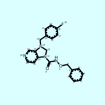 O=C(NOCc1ccccc1)N1CN(Cc2ccc(F)cc2)c2cnccc21